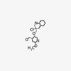 COc1cc(C=O)c(OCC2(Cl)C=c3ccccc3=NC2)cn1